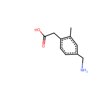 Cc1cc(CN)ccc1CC(=O)O